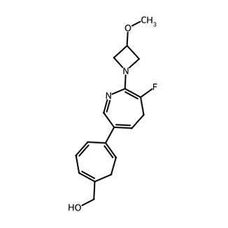 COC1CN(C2=C(F)CC=C(C3=CCC(CO)=CC=C3)C=N2)C1